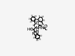 CC(=O)N[C@@H](CC1CCCCC1)C(=O)N[C@H](CCc1ccccc1)C(O)c1nc2ccccc2o1